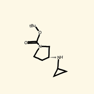 CC(C)(C)OC(=O)N1CC[C@@H](NC2CC2)C1